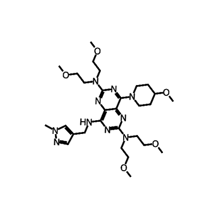 COCCN(CCOC)c1nc(N2CCC(OC)CC2)c2nc(N(CCOC)CCOC)nc(NCc3cnn(C)c3)c2n1